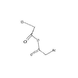 CC(=O)CC(=O)OC(=O)CCl